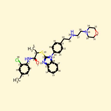 Cc1ccc(NC(=O)C(C)Sc2nc3ccccc3n2-c2ccc(CCNCCN3CCOCC3)cc2)c(Cl)c1